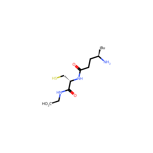 CCC(C)[C@@H](N)CCC(=O)N[C@@H](CS)C(=O)NCC(=O)O